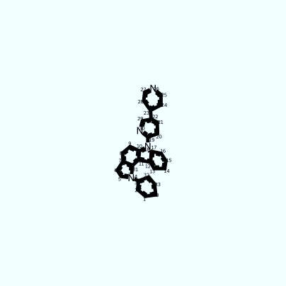 c1ccc(-n2ccc3ccc4c(c5ccccc5n4-c4ccc(-c5ccncc5)cn4)c32)cc1